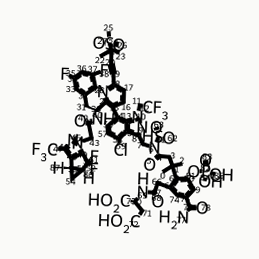 CC(C)(CC(=O)N(Cc1nn(CC(F)(F)F)c2c(-c3ccc(C#CC(C)(C)S(C)(=O)=O)nc3[C@H](Cc3cc(F)cc(F)c3)NC(=O)Cn3nc(C(F)(F)F)c4c3C(F)(F)[C@@H]3C[C@H]43)ccc(Cl)c12)[SH](=O)=O)c1c(CC(=O)N[C@@H](CC(=O)O)C(=O)O)cc(C(N)=O)cc1OP(=O)(O)O